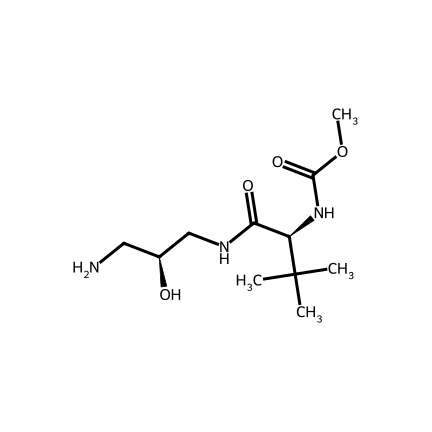 COC(=O)N[C@H](C(=O)NC[C@@H](O)CN)C(C)(C)C